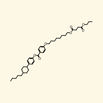 CCCCCC1CCC(c2ccc(OC(=O)c3ccc(OCCCCCCCCOC(=O)CCC(=O)OCCC)cc3)cc2)CC1